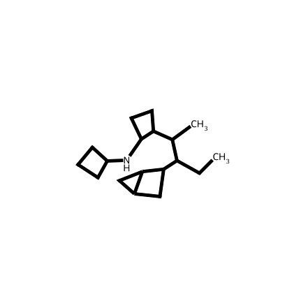 CCC(C(C)C1CCC1NC1CCC1)C1CC2CC21